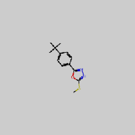 CSc1nnc(-c2ccc(C(C)(C)C)cc2)o1